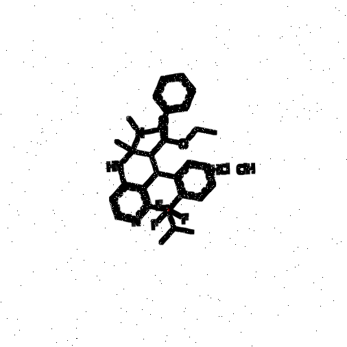 CCOC(=O)C1C(c2ccccc2C(F)(F)F)c2c(ccnc2OC(C)C)NC1(C)N(C)Cc1ccccc1.Cl.Cl